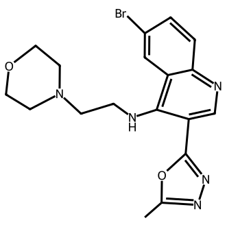 Cc1nnc(-c2cnc3ccc(Br)cc3c2NCCN2CCOCC2)o1